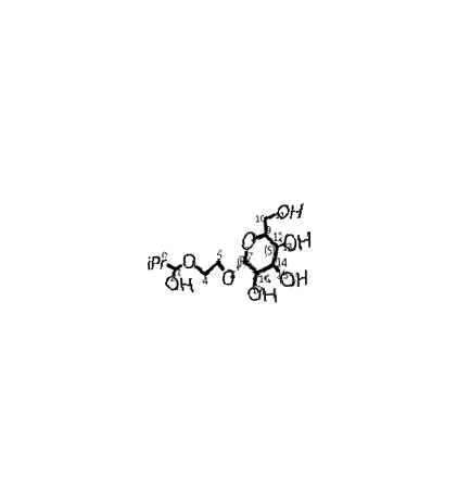 CC(C)C(O)OCCO[C@@H]1OC(CO)[C@@H](O)C(O)C1O